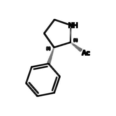 CC(=O)[C@H]1NCC[C@H]1c1ccccc1